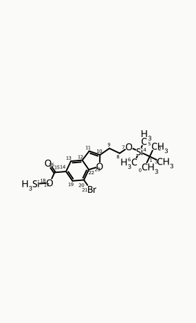 CC(C)(C)[Si](C)(C)OCCc1cc2cc(C(=O)O[SiH3])cc(Br)c2o1